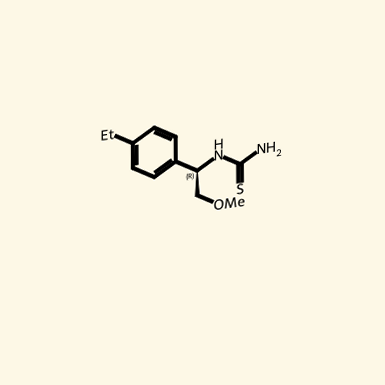 CCc1ccc([C@H](COC)NC(N)=S)cc1